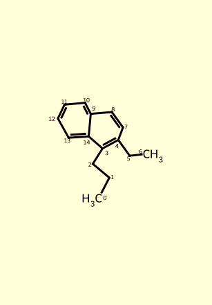 CCCc1c(CC)ccc2ccccc12